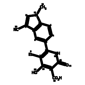 CCc1c(-c2ccc3c(c2)c(C#N)cn3C)[nH]c(=O)c(C(=O)O)c1O